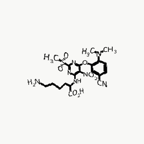 CN(C)c1ccc(C#N)cc1Oc1nc(S(C)(=O)=O)nc(NC(CCCCN)C(=O)O)c1[N+](=O)[O-]